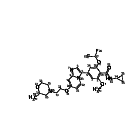 COc1cc(-c2cnc3cc(OCCN4CCOC(C)C4)ccn23)cc(OC(F)F)c1C(=O)NC1CC1